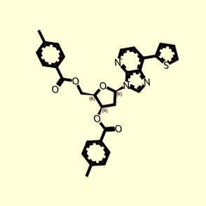 Cc1ccc(C(=O)OC[C@H]2O[C@@H](n3cnc4c(-c5cccs5)ccnc43)C[C@H]2OC(=O)c2ccc(C)cc2)cc1